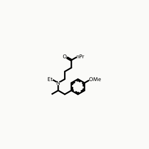 CCCC(=O)CCCN(CC)C(C)Cc1ccc(OC)cc1